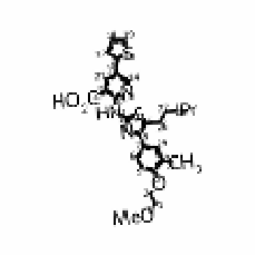 COCCOc1ccc(-c2nc(Nc3ncc(-c4cccs4)cc3C(=O)O)sc2CCC(C)C)cc1C